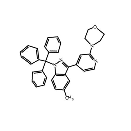 Cc1ccc2c(c1)c(-c1ccnc(N3CCOCC3)c1)nn2C(c1ccccc1)(c1ccccc1)c1ccccc1